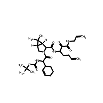 C=CCCC(NC(=O)[C@@H]1[C@@H]2[C@H](CN1C(=O)C(NC(=O)OC(C)(C)C)C1C=CCCC1)C2(C)C)C(=O)C(=O)NCC=C